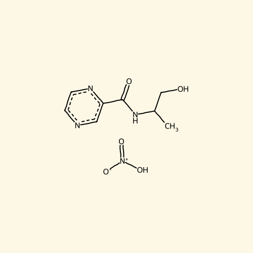 CC(CO)NC(=O)c1cnccn1.O=[N+]([O-])O